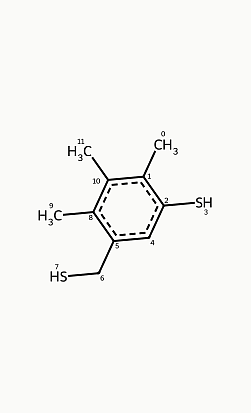 Cc1c(S)cc(CS)c(C)c1C